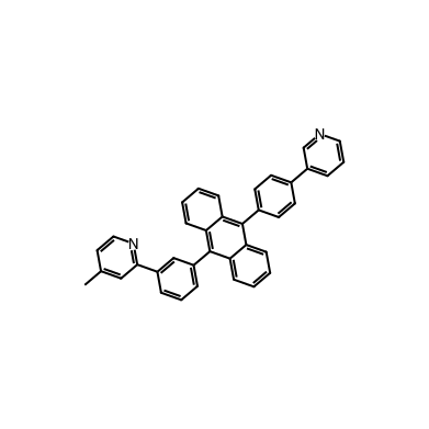 Cc1ccnc(-c2cccc(-c3c4ccccc4c(-c4ccc(-c5cccnc5)cc4)c4ccccc34)c2)c1